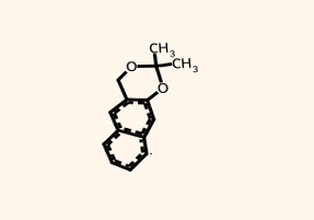 CC1(C)OCc2cc3ccc[c]c3cc2O1